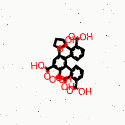 O=C(O)c1cccc(-c2c(C3CCCC3)cc(C(=O)O)c(C(=O)O)c2-c2cccc(C(=O)O)c2C(=O)O)c1C(=O)O